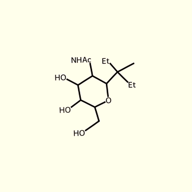 CCC(C)(CC)C1OC(CO)C(O)C(O)C1NC(C)=O